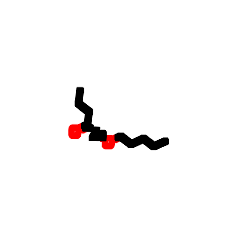 CCCCC[O][Zn][C](=O)CCC